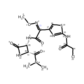 CO/N=C(\C(=O)N[C@H]1C(=O)N[C@H]1C(=O)N(C)C)c1csc(NC(=O)CCl)n1